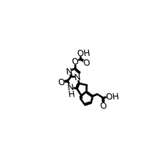 O=C(O)Cc1cccc2c1Cc1c-2[nH]c(=O)c2nc(OC(=O)O)cn12